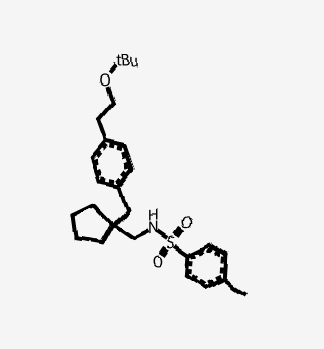 Cc1ccc(S(=O)(=O)NCC2(Cc3ccc(CCOC(C)(C)C)cc3)CCCC2)cc1